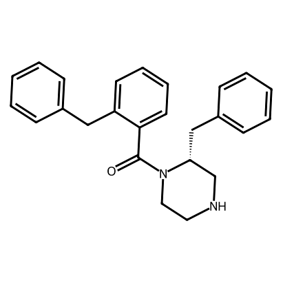 O=C(c1ccccc1Cc1ccccc1)N1CCNC[C@H]1Cc1ccccc1